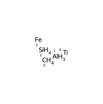 C.[AlH3].[Fe].[SiH4].[Ti]